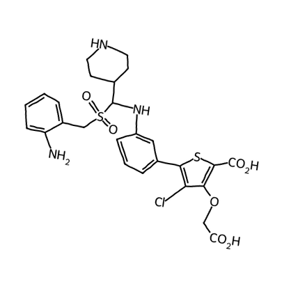 Nc1ccccc1CS(=O)(=O)C(Nc1cccc(-c2sc(C(=O)O)c(OCC(=O)O)c2Cl)c1)C1CCNCC1